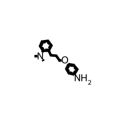 CN(C)c1ccccc1CCCOc1ccc(N)cc1